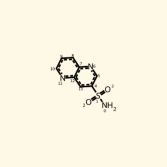 NS(=O)(=O)c1cnc2cccnc2c1